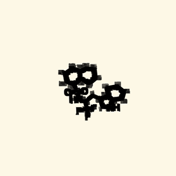 O=S(=O)(NC(Cc1c[nH]c2ccccc12)C(F)(F)F)c1cccc2ccccc12